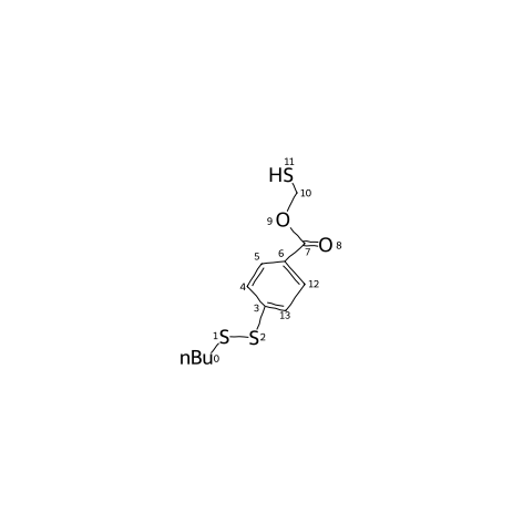 CCCCSSc1ccc(C(=O)OCS)cc1